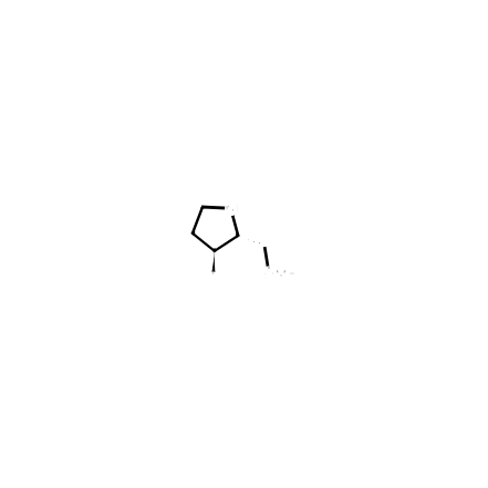 COC[C@H]1NCC[C@@H]1O